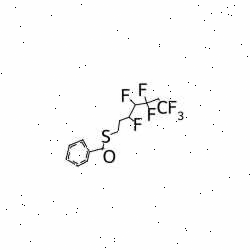 O=C(SCCC(F)C(F)C(F)(F)CC(F)(F)F)c1ccccc1